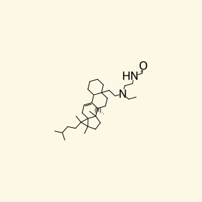 CCN(CCNC=O)CCC12CCCCC1C1=CCC34C(C)(CCC(C)C)C3(C)CCC4(C)[C@]1(C)CC2